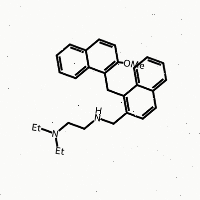 CCN(CC)CCNCc1ccc2ccccc2c1Cc1c(OC)ccc2ccccc12